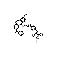 CCc1ccc2c(c1)CCc1ccc(C(C)c3ccccc3)cc1C2N(C)CCOc1ccc(CC(OC)C(=O)O)cc1